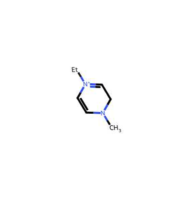 CC[N+]1=CCN(C)C=C1